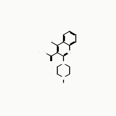 CCN1CCN(c2nc3cc[c]cc3c(C)c2C(N)=O)CC1